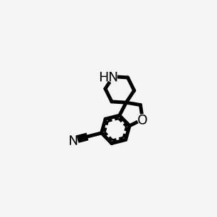 N#Cc1ccc2c(c1)C1(CCNCC1)CO2